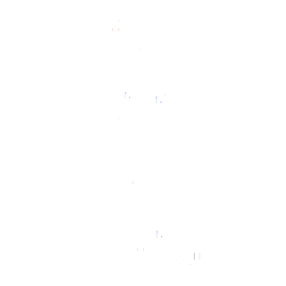 O=C(O)[N+]1([O-])CCC2(CCc3nn(C4CCOC4)cc3O2)CC1